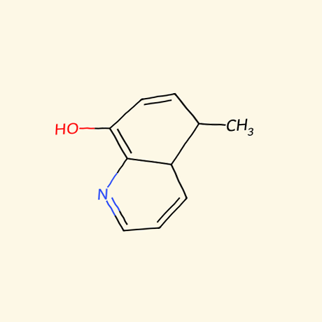 CC1C=CC(O)=C2N=CC=CC21